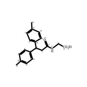 CCOC(=O)CNC(=O)CC(c1ccc(C)cc1)c1ccc(C)cc1